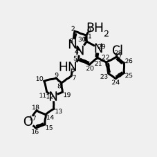 Bc1cnn2c(NCC3CCCN(CC4C=COC4)C3)cc(-c3ccccc3Cl)nc12